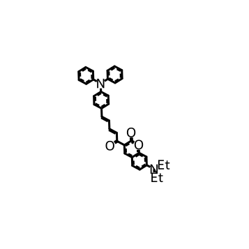 CCN(CC)c1ccc2cc(C(=O)C=CC=Cc3ccc(N(c4ccccc4)c4ccccc4)cc3)c(=O)oc2c1